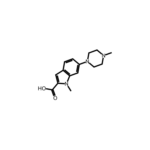 CN1CCN(c2ccc3cc(C(=O)O)n(C)c3c2)CC1